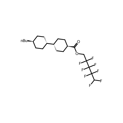 CCCC[C@H]1CC[C@H]([C@H]2CC[C@H](C(=O)OCC(F)(F)C(F)(F)C(F)(F)C(F)F)CC2)CC1